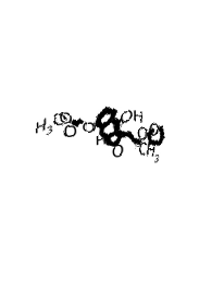 COC(=O)COc1cccc2c1C[C@H]1CC(=O)C(CC[C@H](C)OC3CCCCO3)=C1[C@@H]2O